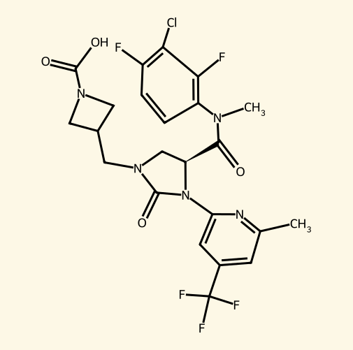 Cc1cc(C(F)(F)F)cc(N2C(=O)N(CC3CN(C(=O)O)C3)C[C@H]2C(=O)N(C)c2ccc(F)c(Cl)c2F)n1